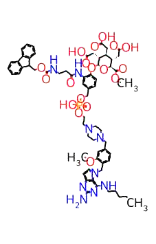 CCCCCNc1nc(N)nc2ccn(Cc3ccc(CN4CCN(CCOP(=O)(O)OCc5ccc(O[C@@H]6O[C@H](C(=O)OC)[C@@H](CC(=O)O)[C@H](CC(=O)O)[C@H]6CC(=O)O)c(NC(=O)CCNC(=O)OCC6c7ccccc7-c7ccccc76)c5)CC4)cc3OC)c12